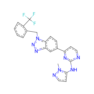 Cn1nccc1Nc1nccc(-c2ccc3c(c2)nnn3Cc2ccccc2C(F)(F)F)n1